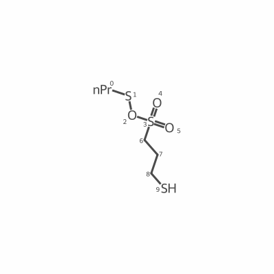 CCCSOS(=O)(=O)CCCS